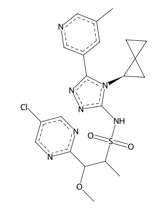 COC(c1ncc(Cl)cn1)C(C)S(=O)(=O)Nc1nnc(-c2cncc(C)c2)n1[C@@H]1CC12CC2